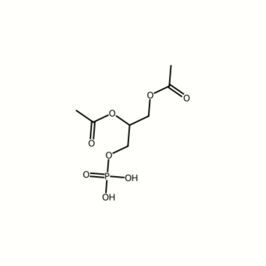 CC(=O)OCC(COP(=O)(O)O)OC(C)=O